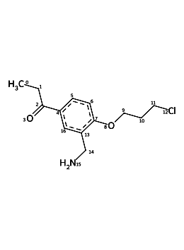 CCC(=O)c1ccc(OCCCCl)c(CN)c1